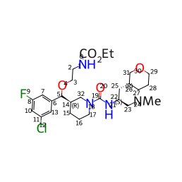 CCOC(=O)NCCOC(c1cc(F)cc(Cl)c1)[C@@H]1CCCN(C(=O)N[C@H](CNC)C[C@H]2CCCOC2)C1